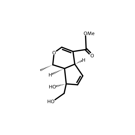 COC(=O)C1=CO[C@@H](C)[C@H]2[C@@H]1C=C[C@@]2(O)CO